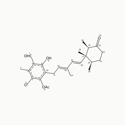 CC(=O)Oc1c(Cl)c(C)c(C=O)c(O)c1C/C=C(C)/C=C/[C@@]1(C)[C@H](C)CCC(=O)[C@@H]1C